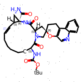 CC(C)(C)OC(=O)N[C@H]1CCCCC/C=C\[C@@H]2C[C@@]2(C(N)=O)NC(=O)[C@@H]2C[C@]3(CCc4c(cnc5ccccc45)O3)CN2C1=O